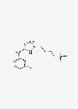 C[Si](C)(C)CCOCN1NC=C(Nc2cccc(F)c2)N1